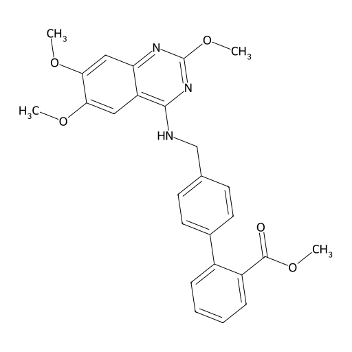 COC(=O)c1ccccc1-c1ccc(CNc2nc(OC)nc3cc(OC)c(OC)cc23)cc1